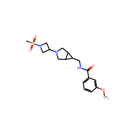 CS(=O)(=O)N1CC(N2CC3C(CNC(=O)c4cccc(OC(F)(F)F)c4)C3C2)C1